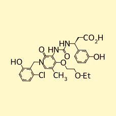 CCOCCOc1c(C)cn(Cc2c(O)cccc2Cl)c(=O)c1NC(=O)N[C@@H](CC(=O)O)c1cccc(O)c1